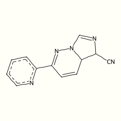 N#CC1N=CN2N=C(c3ccccn3)C=CC12